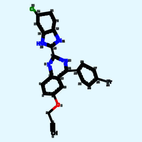 C#CCOc1ccc2nc(-c3nc4ccc(Cl)cc4[nH]3)nc(-c3ccc(C(C)C)cc3)c2c1